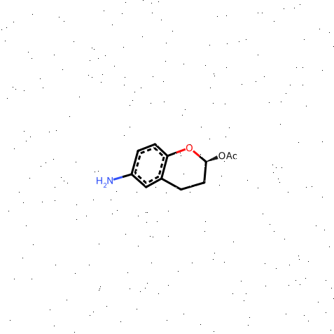 CC(=O)O[C@H]1CCc2cc(N)ccc2O1